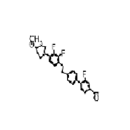 COC1CC=C(c2ccc(CCc3ccc(-c4ccc(C5CO5)cc4F)cc3)c(F)c2F)CC1